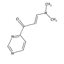 CN(C)/C=C/C(=O)c1ccncn1